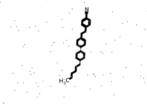 CCCCCC[C@H]1CC[C@H](C2CC=C(CCc3ccc(C#N)cc3)CC2)CC1